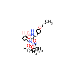 BC(=O)N[C@H](Cc1ccc(OCCCC)cc1)[C@@H](CN(Cc1ccccc1)NC(=O)OC(C)(C)C)OCCCC